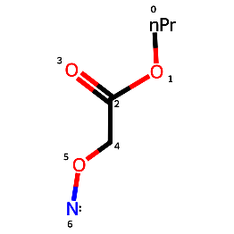 CCCOC(=O)CO[N]